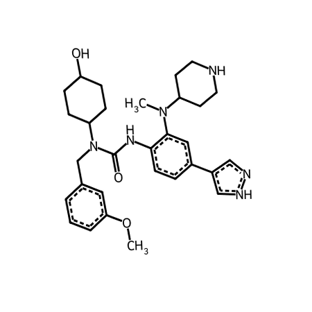 COc1cccc(CN(C(=O)Nc2ccc(-c3cn[nH]c3)cc2N(C)C2CCNCC2)C2CCC(O)CC2)c1